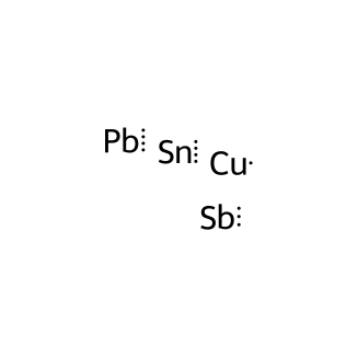 [Cu].[Pb].[Sb].[Sn]